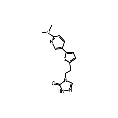 CN(C)c1ccc(-c2ccc(CCn3cn[nH]c3=O)s2)cn1